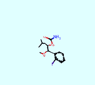 CO[C@H](c1ccccc1I)[C@H](OC(N)=O)C(C)C